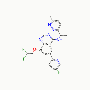 Cc1ccc(C(C)Nc2ncnc3c(OCC(F)F)cc(-c4ccc(F)cn4)cc23)nn1